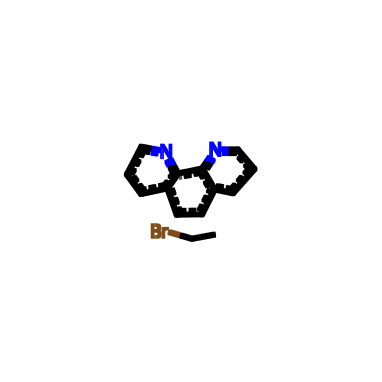 CCBr.c1cnc2c(c1)ccc1cccnc12